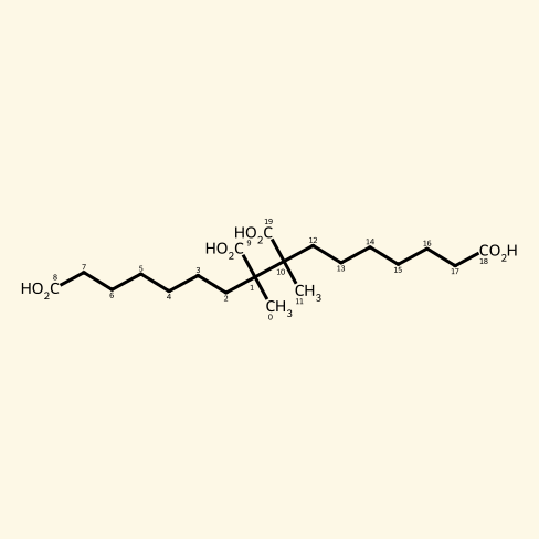 CC(CCCCCCC(=O)O)(C(=O)O)C(C)(CCCCCCC(=O)O)C(=O)O